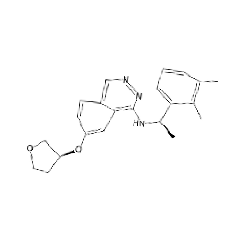 Cc1cccc([C@@H](C)Nc2nncc3ccc(O[C@H]4CCOC4)cc23)c1C